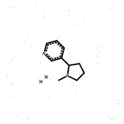 CN1CCCC1c1cccnc1.[N].[N]